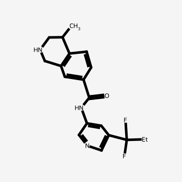 CCC(F)(F)c1cncc(NC(=O)c2ccc3c(c2)CNCC3C)c1